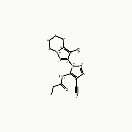 CCC(=O)Nc1c(C#N)cnn1-c1nn2c(c1Cl)CCCC2